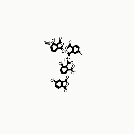 O=C([O-])c1ccc(Cl)cc1C(=O)[O-].O=C([O-])c1cccc(Cl)c1C(=O)O.O=C1OC(=O)c2c(Cl)cccc21.O=C1OC(=O)c2cc(Cl)ccc21.[Na+].[Na+].[Na+]